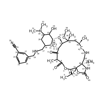 CC[C@H]1OC(=O)C(C)C(=O)[C@H](C)[C@@H](O[C@@H]2OC(CNCc3cccc(C#N)c3)CC(N(C)C)C2O)[C@](C)(OC)C[C@@H](C)CN[C@H](C)[C@H]2NC(=O)O[C@@]21C